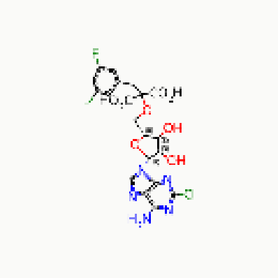 Nc1nc(Cl)nc2c1ncn2[C@@H]1O[C@H](COC(Cc2cc(F)cc(F)c2)(C(=O)O)C(=O)O)[C@@H](O)[C@H]1O